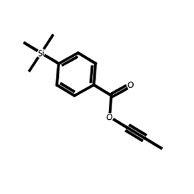 CC#COC(=O)c1ccc([Si](C)(C)C)cc1